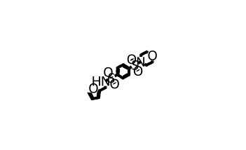 O=S(=O)(NCc1ccco1)c1ccc(S(=O)(=O)N2CCOCC2)cc1